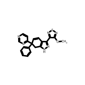 COc1nsnc1-c1n[nH]c2c1C=CC(c1ccccc1)(c1ccncn1)C2